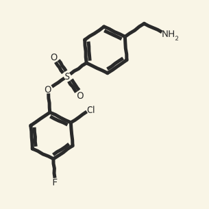 NCc1ccc(S(=O)(=O)Oc2ccc(F)cc2Cl)cc1